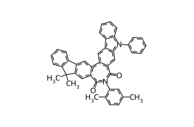 Cc1ccc(C)c(-n2c(=O)c3cc4c(cc3c3cc5c6ccccc6n(-c6ccccc6)c5cc3c2=O)-c2ccccc2C4(C)C)c1